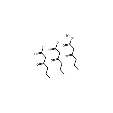 CCCC(=O)CC(=O)[O-].CCCC(=O)CC(=O)[O-].CCCC(=O)CC(=O)[O-].[Zr+3]